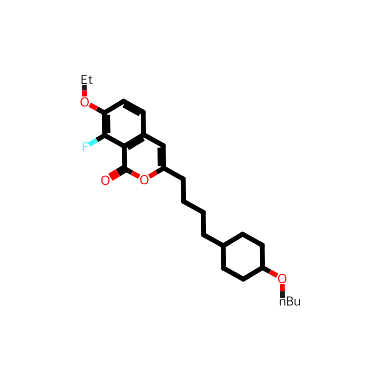 CCCCOC1CCC(CCCCc2cc3ccc(OCC)c(F)c3c(=O)o2)CC1